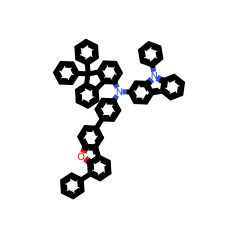 c1ccc(-c2cccc3c2oc2ccc(-c4ccc(N(c5ccc6c7ccccc7n(-c7ccccc7)c6c5)c5cccc6c5-c5ccccc5C6(c5ccccc5)c5ccccc5)cc4)cc23)cc1